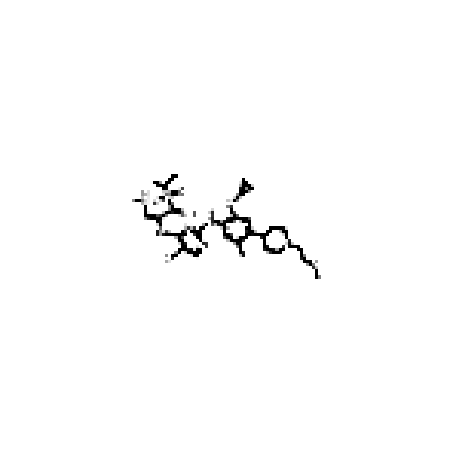 CN/C=C(/Nc1nc(Nc2cc(C)c(C3CCN(CCOC)CC3)cc2OC2CC2)ncc1Cl)C(=N)S(=O)(=O)C(C)C